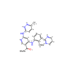 CNC(=O)c1cnc(Nc2ccc(C(F)(F)F)nn2)cc1Nc1cccc(-c2ncccn2)c1OC